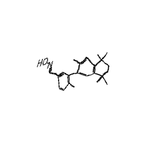 Cc1ccc(C=NO)cc1-c1cc2c(cc1C)C(C)(C)CCC2(C)C